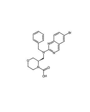 O=C(O)N1CCOC[C@H]1CN(Cc1ccccc1)c1ncc2cc(Br)ccc2n1